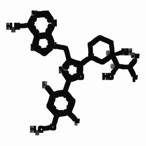 COc1cc(F)c(-c2nc(Cn3cnc4c(N)ncnc43)c(N3CCC[C@](N)([C@H](O)C(F)F)C3)o2)cc1F